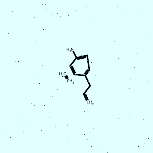 C=C.C=CCc1ccc(N)cc1